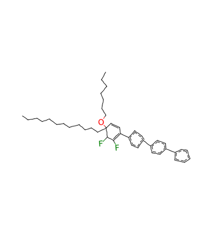 CCCCCCCCCCCCC1(OCCCCCCC)C=CC(c2ccc(-c3ccc(-c4ccccc4)cc3)cc2)=C(F)C1F